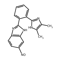 Cc1nc(-c2ccccc2-c2nc3ccc(N=O)cc3[nH]2)[nH]c1C